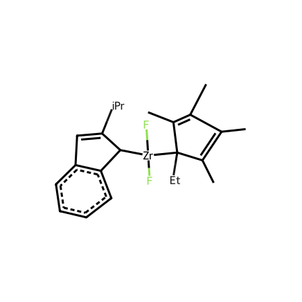 CC[C]1([Zr]([F])([F])[CH]2C(C(C)C)=Cc3ccccc32)C(C)=C(C)C(C)=C1C